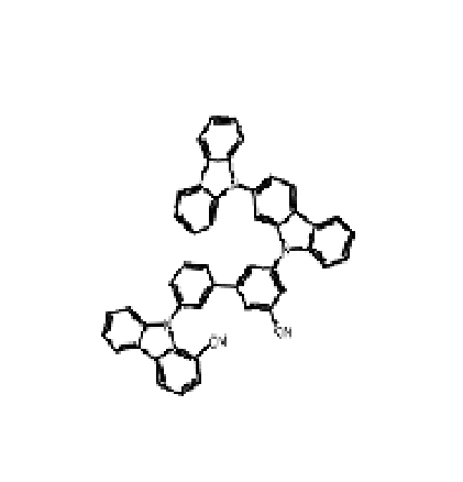 N#Cc1cc(-c2cccc(-n3c4ccccc4c4cccc(C#N)c43)c2)cc(-n2c3ccccc3c3ccc(-n4c5ccccc5c5ccccc54)cc32)c1